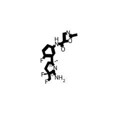 Cc1ncc(C(=O)Nc2ccc(F)c([C@]3(C)CC[C@@](F)(CF)C(N)=N3)c2)o1